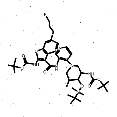 CC1CN(c2ccncc2NC(=O)c2c(NC(=O)OC(C)(C)C)oc3cc(CCCF)cnc23)CC(NC(=O)OC(C)(C)C)C1O[Si](C)(C)C(C)(C)C